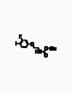 CC(C)(C)OC(=O)NCCOc1ccc(I)c(F)c1